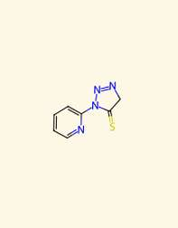 S=C1CN=NN1c1ccccn1